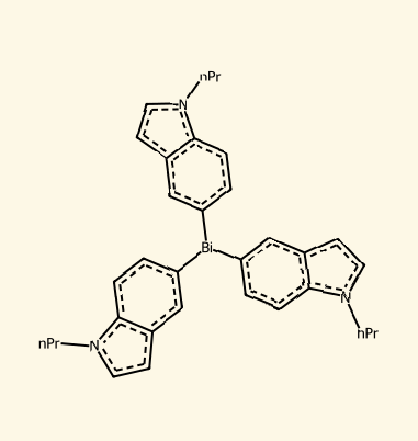 CCCn1ccc2c[c]([Bi]([c]3ccc4c(ccn4CCC)c3)[c]3ccc4c(ccn4CCC)c3)ccc21